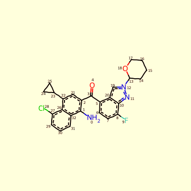 Nc1c(C(=O)c2ccc(F)c3nn(C4CCCCO4)cc23)cc(C2CC2)c2c(Cl)cccc12